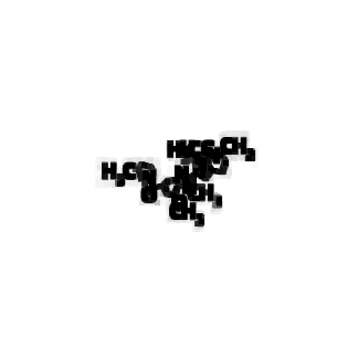 C=C1C=Cc2cc(-c3nc4cc(C(=O)N5CCCC(C)C5)cc(OC)c4n3C)n(CC)c2N1C